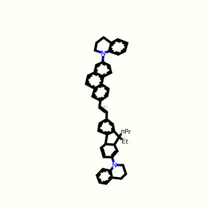 CCCC1(CC)c2cc(/C=C/c3ccc4c(ccc5cc(N6CCCc7ccccc76)ccc54)c3)ccc2C2C=CC(N3CCCc4ccccc43)=CC21